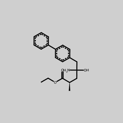 CCOC(=O)[C@H](C)CC(N)(O)Cc1ccc(-c2ccccc2)cc1